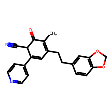 [CH2]C1=C(CCc2ccc3c(c2)OCO3)C=C(c2ccncc2)C(C#N)C1=O